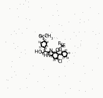 C[S+]([O-])c1ccc(C(CO)c2nc3c(Cl)c(-c4ccccc4OC(F)F)c(Cl)cc3[nH]2)cc1